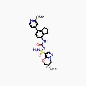 COc1cc(-c2ccc(NC(=O)N=S(N)(=O)c3cnn4c3OC[C@@H](OC)C4)c3c2CCC3)ccn1